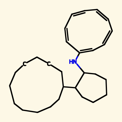 c1ccccc(NC2CCCCCC2C2CCCCCCCCCCC2)cccc1